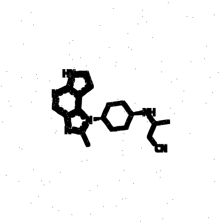 Cc1nc2cnc3[nH]ccc3c2n1[C@H]1CC[C@H](NC(C)CC#N)CC1